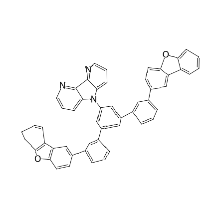 C1=Cc2c(oc3ccc(-c4cccc(-c5cc(-c6cccc(-c7ccc8oc9ccccc9c8c7)c6)cc(-n6c7cccnc7c7ncccc76)c5)c4)cc23)CC1